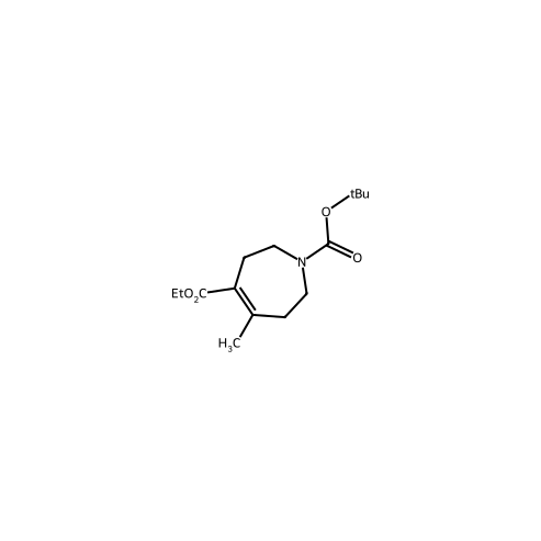 CCOC(=O)C1=C(C)CCN(C(=O)OC(C)(C)C)CC1